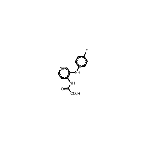 O=C(O)C(=O)Nc1ccncc1Nc1ccc(F)cc1